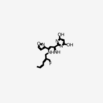 C/C=C\C=C(/CF)CN/C(=C\C(=N)c1nc(O)cc(O)n1)c1ccon1